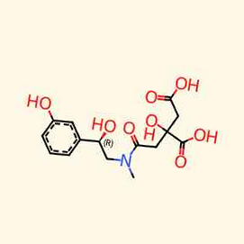 CN(C[C@H](O)c1cccc(O)c1)C(=O)CC(O)(CC(=O)O)C(=O)O